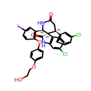 O=C1C[C@@H](c2cccc(Cl)c2)[C@]2(C(=O)Nc3cc(Cl)ccc32)[C@@H](c2cc(I)ccc2Oc2ccc(OCCO)cc2)N1